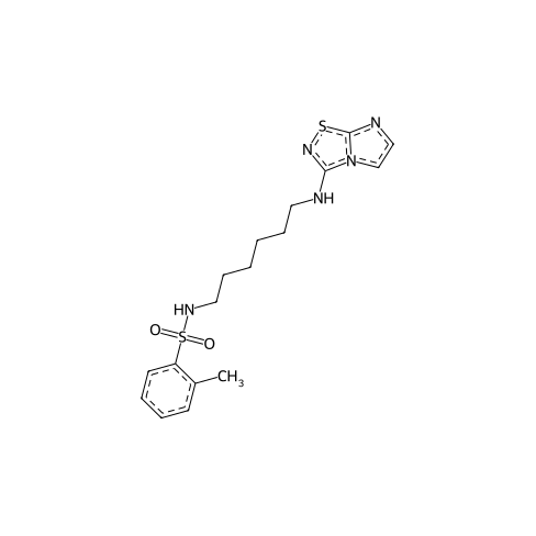 Cc1ccccc1S(=O)(=O)NCCCCCCNc1nsc2nccn12